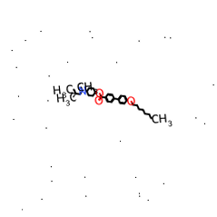 CCCCCCCCOc1ccc(-c2ccc(C(=O)O[C@H]3CC[C@H](N(C)C[C@@H](C)CC)CC3)cc2)cc1